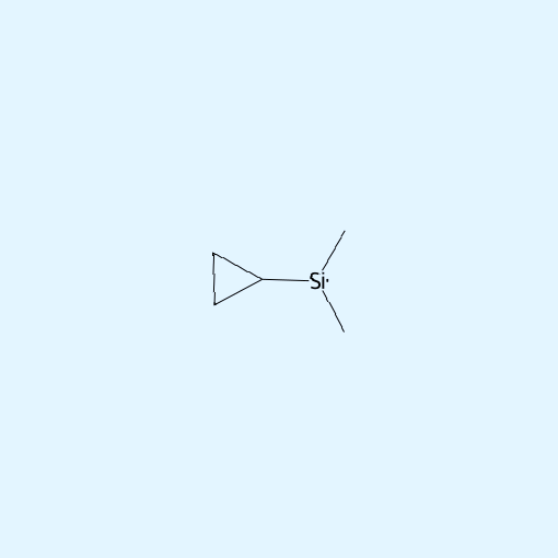 C[Si](C)C1CC1